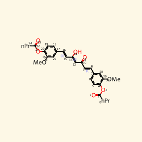 CCCC(=O)Oc1ccc(/C=C/C(=O)/C=C(O)/C=C/c2ccc(OC(=O)CCC)c(OC)c2)cc1OC